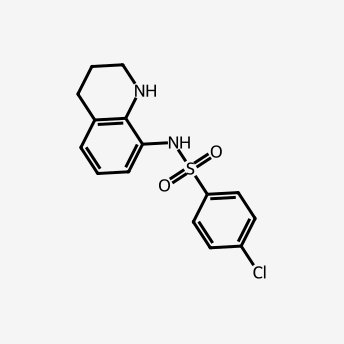 O=S(=O)(Nc1cccc2c1NCCC2)c1ccc(Cl)cc1